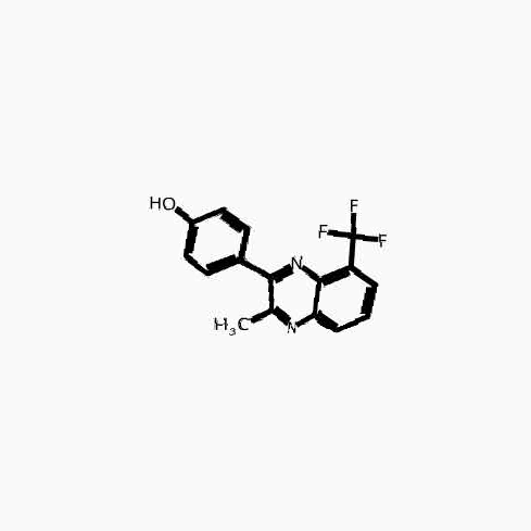 Cc1nc2cccc(C(F)(F)F)c2nc1-c1ccc(O)cc1